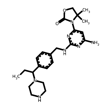 CCC(c1ccc(CNc2nc(N)cc(N3C(=O)OCC3(C)C)n2)cc1)N1CCNCC1